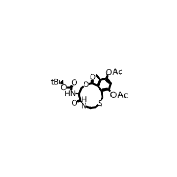 CC(=O)Oc1cc(OC(C)=O)c2c(c1C)C(=O)OC[C@H](NC(=O)OC(C)(C)C)C(=O)NCCSC2